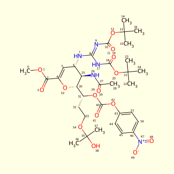 COC(=O)C1=C[C@H](N/C(=N/C(=O)OC(C)(C)C)NC(=O)OC(C)(C)C)[C@@H](NC(C)=O)[C@H]([C@@H](CCOC(C)(C)O)OC(=O)Oc2ccc([N+](=O)[O-])cc2)O1